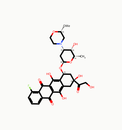 CO[C@@H]1CN([C@H]2C[C@H](O[C@H]3C[C@](O)(C(=O)CO)Cc4c(O)c5c(c(O)c43)C(=O)c3c(F)cccc3C5=O)O[C@@H](C)[C@H]2O)CCO1